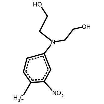 Cc1ccc(N(CCO)CCO)cc1[N+](=O)[O-]